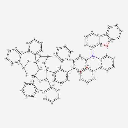 c1ccc(-c2ccccc2N(c2ccc(-c3cccc4c3-c3ccccc3C3CC56CC(CC78CC(c9ccccc9-c9ccccc97)C4(C3)C58)c3ccccc3-c3ccccc36)cc2)c2cccc3c2oc2ccccc23)cc1